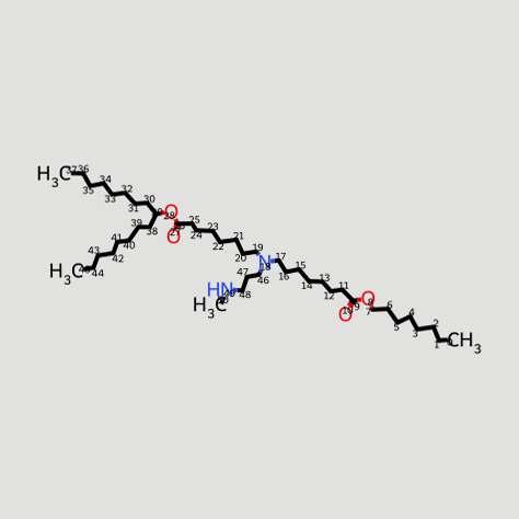 CCCCCCCCOC(=O)CCCCCCCN(CCCCCCCC(=O)OC(CCCCCCCC)CCCCCCCC)CCCNC